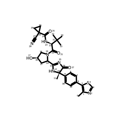 Cc1ncsc1-c1ccc([C@]2(C)NC(C3C[C@@H](O)CN3C(=O)[C@@H](NC(=O)C3(C#N)CC3)C(C)(C)C)=NC2=O)cc1